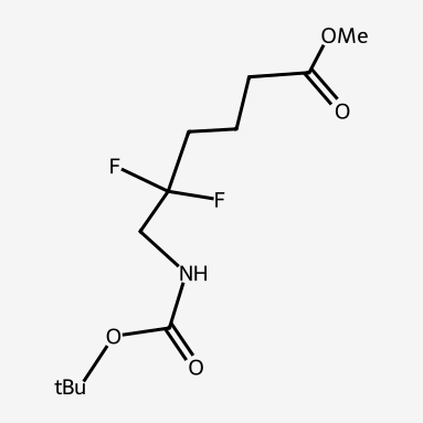 COC(=O)CCCC(F)(F)CNC(=O)OC(C)(C)C